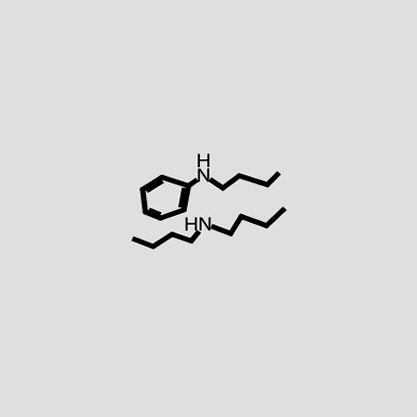 CCCCNCCCC.CCCCNc1ccccc1